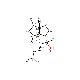 CC(C)C/C=C/C(C)(O)[C@H]1CC[C@H]2C(C)CC(C)[C@]12C